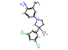 Bc1cc(N2CCC(c3cc(Cl)cc(Cl)c3)(C(F)(F)F)C2)ccc1N